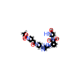 CC(C)(C)OC(=O)N1CCC(CC(=O)N2CCC(n3cc(CNc4cccc5c4C(=O)N(C4CCC(=O)NC4)C5=O)cn3)CC2)CC1